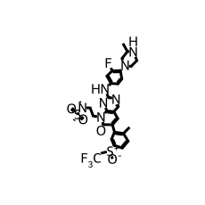 Cc1ccc([S+]([O-])CC(F)(F)F)cc1-c1cc2cnc(Nc3ccc(N4CCNC(C)C4)c(F)c3)nc2n(CCN(C)S(C)(=O)=O)c1=O